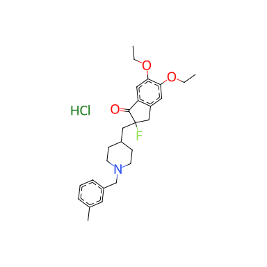 CCOc1cc2c(cc1OCC)C(=O)C(F)(CC1CCN(Cc3cccc(C)c3)CC1)C2.Cl